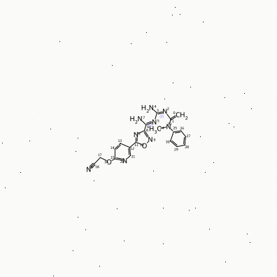 C=C(/N=C(N)\N=C(/N)c1noc(-c2ccc(OCC#N)nc2)n1)N(C)c1ccccc1